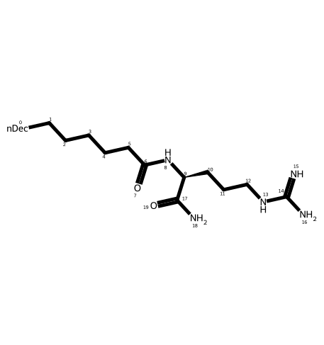 CCCCCCCCCCCCCCCC(=O)N[C@@H](CCCNC(=N)N)C(N)=O